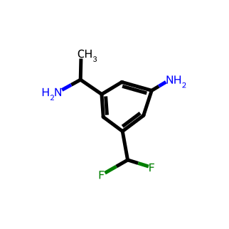 CC(N)c1cc(N)cc(C(F)F)c1